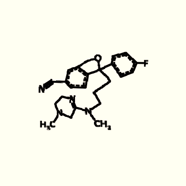 CN1CCN=C(N(C)CCCC2(c3ccc(F)cc3)OCc3cc(C#N)ccc32)C1